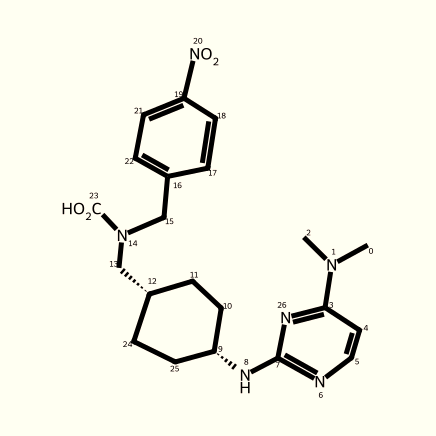 CN(C)c1ccnc(N[C@H]2CC[C@@H](CN(Cc3ccc([N+](=O)[O-])cc3)C(=O)O)CC2)n1